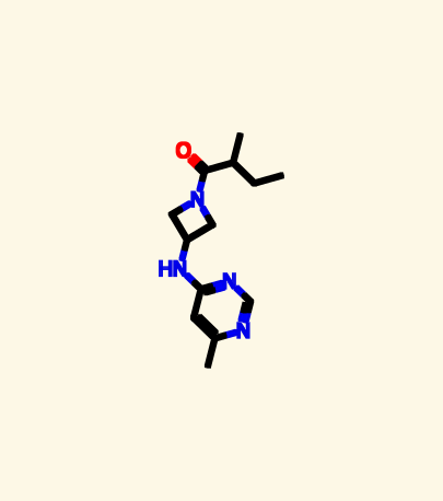 CCC(C)C(=O)N1CC(Nc2cc(C)ncn2)C1